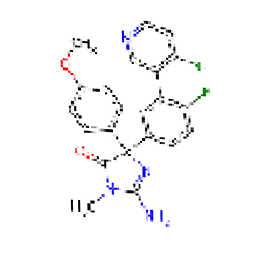 COc1ccc(C2(c3ccc(F)c(-c4cnccc4F)c3)N=C(N)N(C)C2=O)cc1